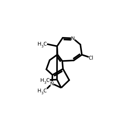 CC1C2CC3=C(CCC4=C3/C=C(/Cl)C/N=C\C41C)N2C